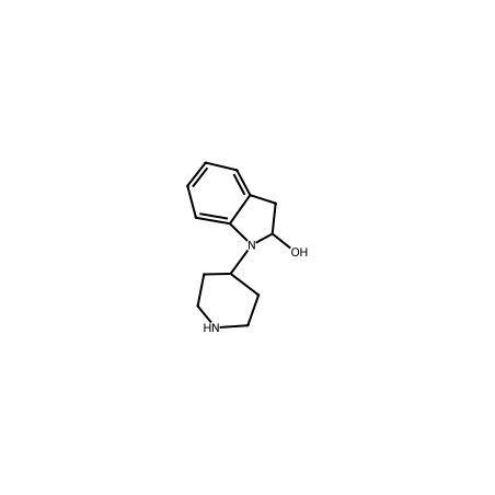 OC1Cc2ccccc2N1C1CCNCC1